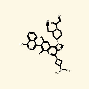 C=CC(=O)N1CC[C@H](n2cnc3c(N4CC(N(C)C)C4)nc4c(F)c(-c5cnc(C)c6ccccc56)c(Cl)cc4c32)C[C@H]1CC#N